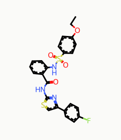 CCOc1ccc(S(=O)(=O)Nc2ccccc2C(=O)Nc2nc(-c3ccc(F)cc3)cs2)cc1